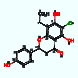 O=C(O)Cc1c(O)c(Cl)c(O)c2c1OC(c1ccc(O)cc1)CC2=O